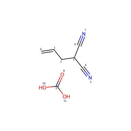 C=CCC(C#N)C#N.O=C(O)O